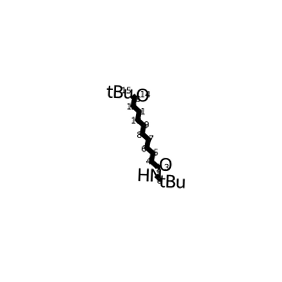 CC(C)(C)NC(=O)CCCCCCCCCC(=O)C(C)(C)C